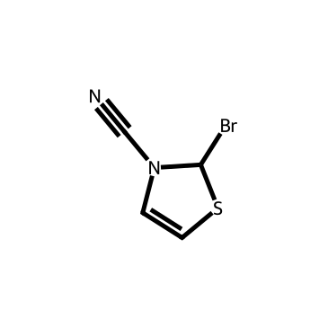 N#CN1C=CSC1Br